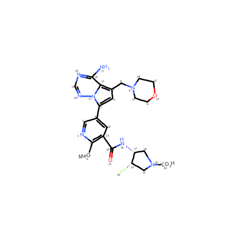 COc1ncc(-c2cc(CN3CCOCC3)c3c(N)ncnn23)cc1C(=O)N[C@@H]1CN(C(=O)O)C[C@@H]1F